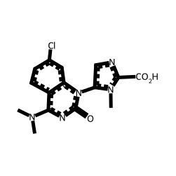 CN(C)c1nc(=O)n(-c2cnc(C(=O)O)n2C)c2cc(Cl)ccc12